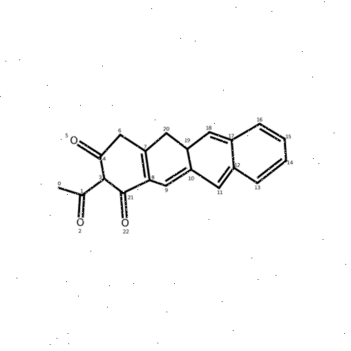 CC(=O)C1C(=O)CC2=C(C=C3C=c4ccccc4=CC3C2)C1=O